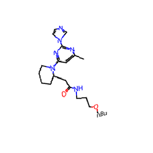 CCCCOCCCNC(=O)CC1CCCCN1c1cc(C)nc(-n2ccnc2)n1